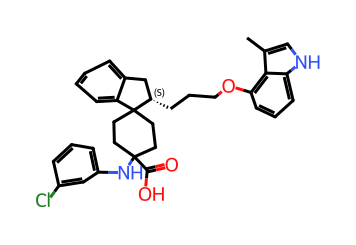 Cc1c[nH]c2cccc(OCCC[C@H]3Cc4ccccc4C34CCC(Nc3cccc(Cl)c3)(C(=O)O)CC4)c12